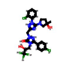 CC1(O)CCN(c2nc(Cn3nc(-c4ccc(Cl)cc4)n(C[C@H](O)C(F)(F)F)c3=O)nn2-c2ccccc2Cl)C1